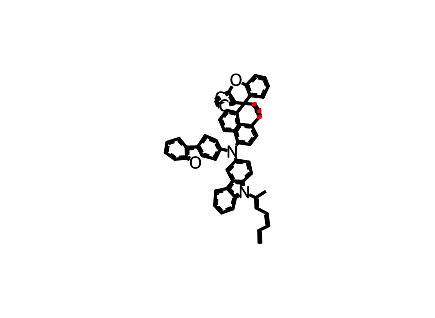 C=C/C=C\C=C(/C)n1c2ccccc2c2cc(N(c3ccc4c(c3)oc3ccccc34)c3ccc4c5c(cccc35)C3(c5ccccc5Oc5ccccc53)c3ccccc3-4)ccc21